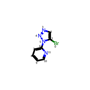 Brc1cnnn1-c1ccccn1